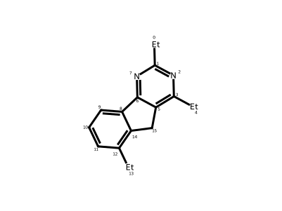 CCc1nc(CC)c2c(n1)-c1cccc(CC)c1C2